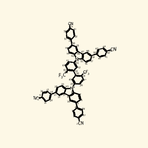 N#Cc1ccc(-c2ccc3c(c2)c2cc(-c4ccc(C#N)cc4)ccc2n3-c2ccc(C(F)(F)F)c(-c3cc(-n4c5ccc(-c6ccc(C#N)cc6)cc5c5cc(-c6ccc(C#N)cc6)ccc54)ccc3C(F)(F)F)c2)cc1